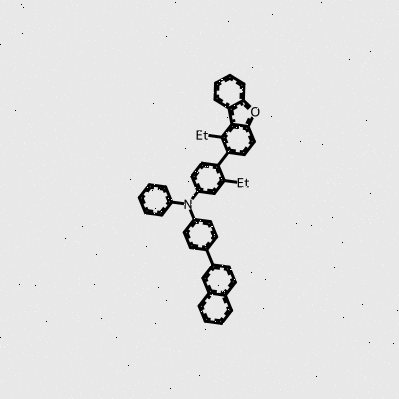 CCc1cc(N(c2ccccc2)c2ccc(-c3ccc4ccccc4c3)cc2)ccc1-c1ccc2oc3ccccc3c2c1CC